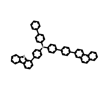 c1ccc(-c2ccc(N(c3ccc(-c4ccc(-c5ccc6c(ccc7ccccc76)c5)cc4)cc3)c3ccc(-c4cccc5c4sc4ccccc45)cc3)cc2)cc1